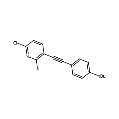 CCCCc1ccc(C#Cc2ccc(Cl)nc2F)cc1